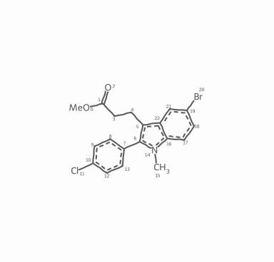 COC(=O)CCc1c(-c2ccc(Cl)cc2)n(C)c2ccc(Br)cc12